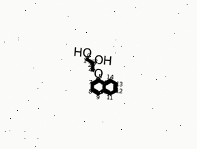 OC[C@H](O)COc1cccc2ccccc12